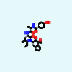 C=C(/C=C\C)C[C@H](NC(=O)[C@@H](C)NC(=O)[C@H]1CC[C@H](O)CC1)C(=O)N[C@@H](CC1CCCC1)C(=O)[C@@]1(C)CO1